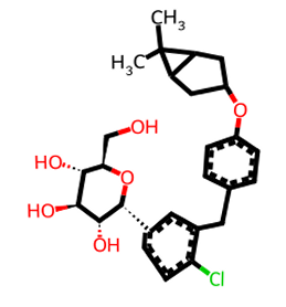 CC1(C)C2CC(Oc3ccc(Cc4cc([C@H]5O[C@H](CO)[C@@H](O)[C@H](O)[C@H]5O)ccc4Cl)cc3)CC21